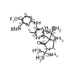 BC(B)(B)N1CCC(c2nc(C)c(Nc3ncc(C(F)(F)F)c(NC)n3)s2)(C(B)(B)B)C1=O